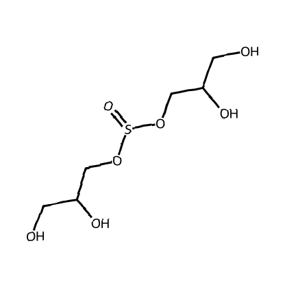 O=S(OCC(O)CO)OCC(O)CO